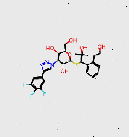 CC(C)(O)C(S[C@@H]1O[C@H](CO)[C@H](O)[C@H](n2cc(-c3cc(F)c(F)c(F)c3)nn2)[C@H]1O)c1ccccc1CCO